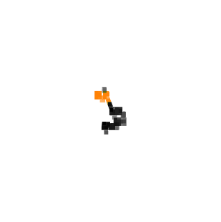 [LiH].[Mn].[SiH3]P